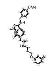 COc1ccc(CNc2nc(C)c3c(=O)n(CC(=O)NCCCOc4cccc(Cl)c4)cnn23)cc1